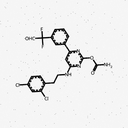 NC(=O)Oc1nc(NCCc2ccc(Cl)cc2Cl)cc(-c2cccc(C(F)(F)[C]=O)c2)n1